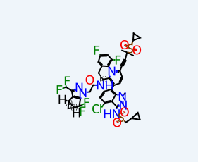 Cn1nc(NS(=O)(=O)CC2CC2)c2c(Cl)ccc(-c3ccc(C#CC(C)(C)S(=O)(=O)C4CC4)nc3[C@H](Cc3cc(F)cc(F)c3)NC(=O)Cn3nc(C(F)F)c4c3C(F)(F)[C@@H]3C[C@H]43)c21